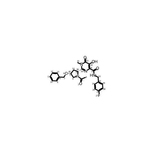 CC(=O)N1C[C@H](OCc2ccccc2)C[C@@H]1c1nc(C(=O)NCc2ccc(F)cc2)c(O)c(=O)n1C